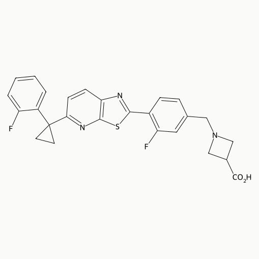 O=C(O)C1CN(Cc2ccc(-c3nc4ccc(C5(c6ccccc6F)CC5)nc4s3)c(F)c2)C1